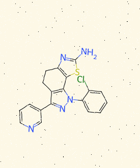 Nc1nc2c(s1)-c1c(c(-c3cccnc3)nn1-c1ccccc1Cl)CC2